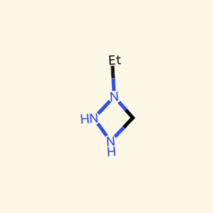 CCN1CNN1